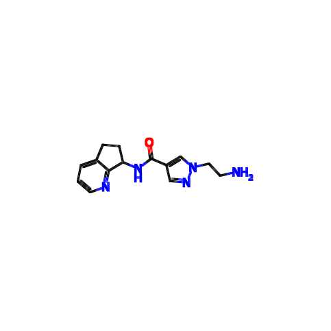 NCCn1cc(C(=O)NC2CCc3cccnc32)cn1